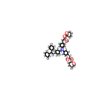 O=C(Cc1ccc(N(c2ccc(C=C(c3ccccc3)c3ccccc3)cc2)c2ccc(CC(=O)OC3CCCCO3)cc2)cc1)OC1CCCCO1